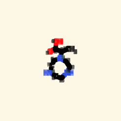 CC(C(=O)O)N1CCNCCNCC1